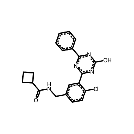 O=C(NCc1ccc(Cl)c(-c2nc(O)nc(-c3ccccc3)n2)c1)C1CCC1